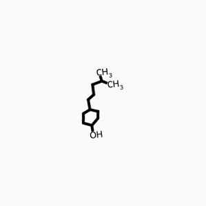 CC(C)CCCC1CCC(O)CC1